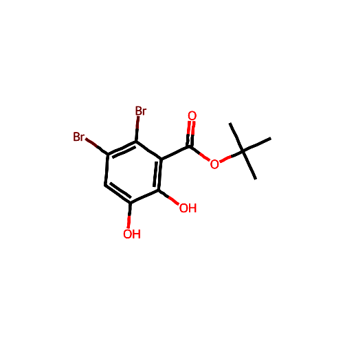 CC(C)(C)OC(=O)c1c(O)c(O)cc(Br)c1Br